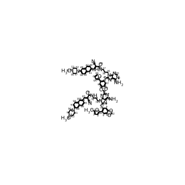 Cc1ccc(-c2cc3c(cc2Sc2nc4c(N)nc(C5Oc6cc(Sc7nc8c(N)ncnc8n7CCCNC(=O)/C(C#N)=C/c7ccc8cc(N9CCN(C)CC9)ccc8c7)c(-c7ccco7)cc6O5)nc4n2CCCNC(=O)/C(C#N)=C/c2ccc4cc(N5CCN(C)CC5)ccc4c2)OCO3)o1